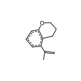 C=C(C)c1cccc2c1CCCO2